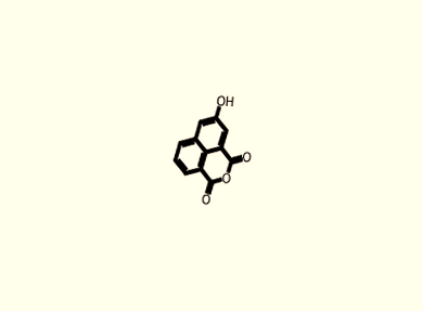 O=C1OC(=O)c2cc(O)cc3cccc1c23